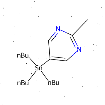 CCC[CH2][Sn]([CH2]CCC)([CH2]CCC)[c]1cnc(C)nc1